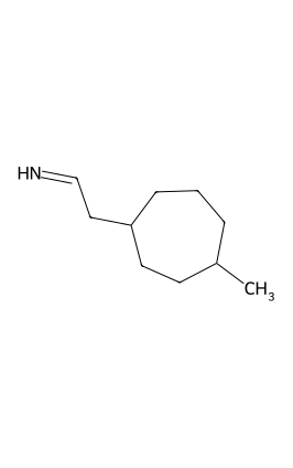 CC1CCCC(CC=N)CC1